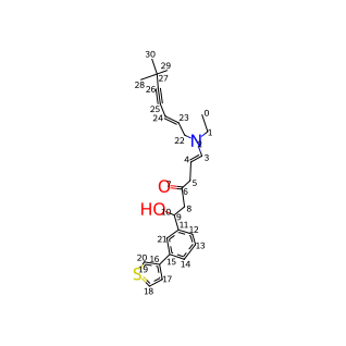 CCN(C=CCC(=O)CC(O)c1cccc(-c2ccsc2)c1)CC=CC#CC(C)(C)C